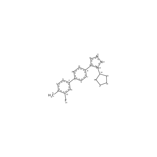 Cc1ccc(-c2ccc(-c3cnnn3C3CCCC3)cc2)cc1F